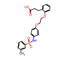 Cc1cccc(S(=O)(=O)Nc2ccc(OCCOc3ccccc3CCC(=O)O)cc2)c1